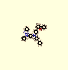 c1ccc(-c2ccc(N(c3ccc(-c4cccc5c4oc4ccccc45)cc3)c3ccc4c(c3)n3c5ccccc5nc3n4-c3ccccc3)cc2)cc1